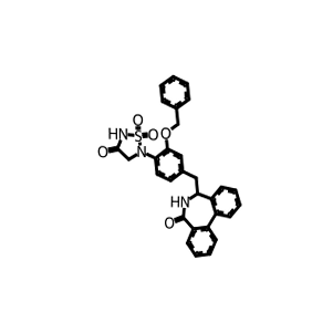 O=C1CN(c2ccc(CC3NC(=O)c4ccccc4-c4ccccc43)cc2OCc2ccccc2)S(=O)(=O)N1